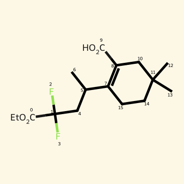 CCOC(=O)C(F)(F)CC(C)C1=C(C(=O)O)CC(C)(C)CC1